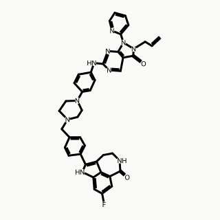 C=CCn1c(=O)c2cnc(Nc3ccc(N4CCN(Cc5ccc(-c6[nH]c7cc(F)cc8c7c6CCNC8=O)cc5)CC4)cc3)nc2n1-c1ccccn1